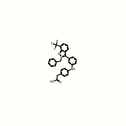 O=C(O)Cc1ccc(Nc2cccc(-c3c4cccc(C(F)(F)F)c4nn3Cc3ccccc3)c2)cc1